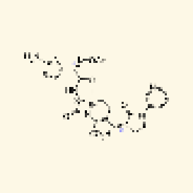 CC(=O)O/N=C(\C(=O)N[C@@H]1C(=O)N2C(C(=O)O)=C(/C=C3/CCN(c4cccnc4)C3=O)CC[C@H]12)c1csc(N)n1